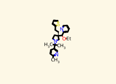 CCO[C@H](c1ccccn1)[C@@]1(CCc2cccs2)CCN(C(C)(C)c2ccc(C)nc2)C1